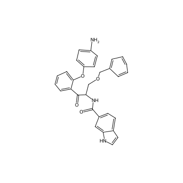 Nc1ccc(Oc2ccccc2C(=O)C(COCc2ccccc2)NC(=O)c2ccc3cc[nH]c3c2)cc1